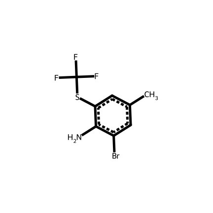 Cc1cc(Br)c(N)c(SC(F)(F)F)c1